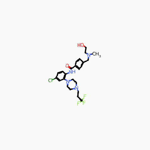 CN(CCO)Cc1ccc(C(=O)Nc2ccc(Cl)cc2N2CCN(CCC(F)(F)F)CC2)cc1